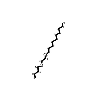 CCCCCCCCCCOCCOCCCC